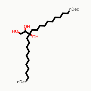 CCCCCCCCCCCCCCCCCCCCC(O)(CCCCCCCCCCCCCCCCCCCC)C(O)CO